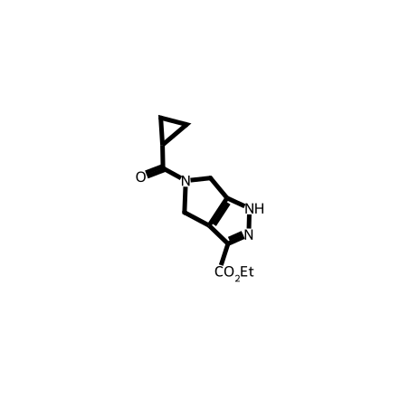 CCOC(=O)c1n[nH]c2c1CN(C(=O)C1CC1)C2